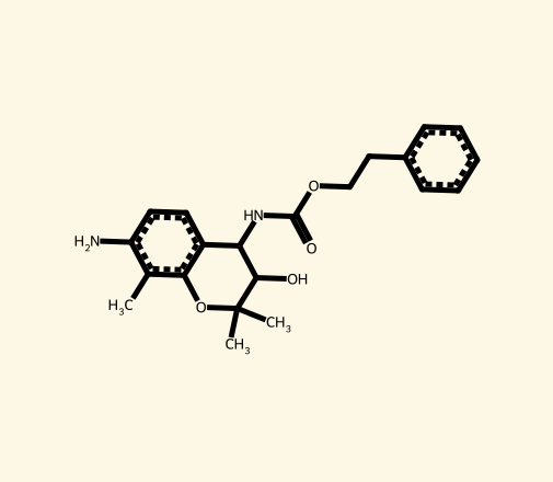 Cc1c(N)ccc2c1OC(C)(C)C(O)C2NC(=O)OCCc1ccccc1